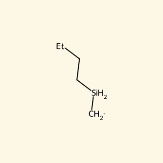 [CH2][SiH2]CCCC